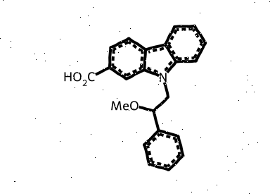 COC(Cn1c2ccccc2c2ccc(C(=O)O)cc21)c1ccccc1